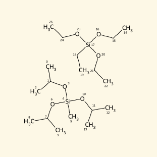 CC(C)O[Si](C)(OC(C)C)OC(C)C.CCO[Si](CC)(OCC)OCC